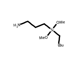 CO[Si](CCCN)(CC(C)(C)C)OC